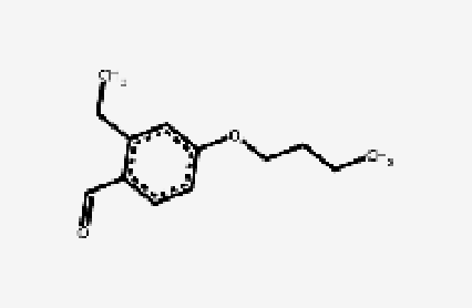 CCCCOc1ccc(C=O)c(CC)c1